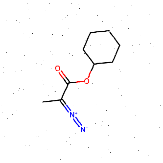 CC(=[N+]=[N-])C(=O)OC1CCCCC1